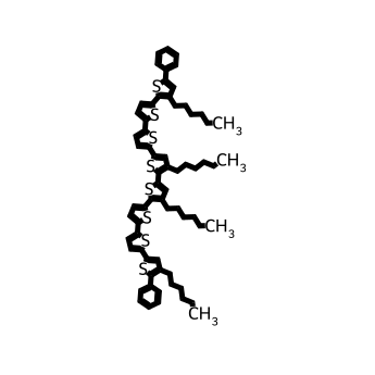 CCCCCCc1cc(-c2ccc(-c3ccc(-c4sc(-c5sc(-c6ccc(-c7ccc(-c8sc(-c9ccccc9)cc8CCCCCC)s7)s6)cc5CCCCCC)cc4CCCCCC)s3)s2)sc1-c1ccccc1